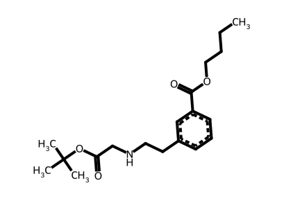 CCCCOC(=O)c1cccc(CCNCC(=O)OC(C)(C)C)c1